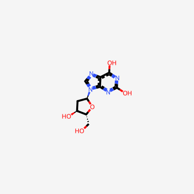 OC[C@H]1O[C@H](n2cnc3c(O)nc(O)nc32)C[C@@H]1O